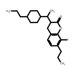 CCCc1ccc2c(c1F)OC(=O)C(C(C)C1CCC(CCC)CC1)C2